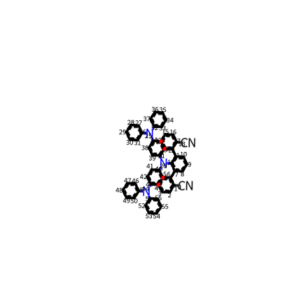 N#Cc1ccccc1-c1cccc(-c2ccccc2C#N)c1N(c1ccc(N(c2ccccc2)c2ccccc2)cc1)c1ccc(N(c2ccccc2)c2ccccc2)cc1